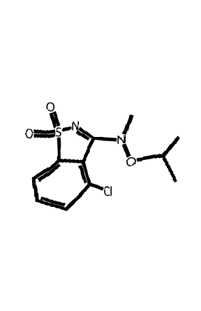 CC(C)ON(C)C1=NS(=O)(=O)c2cccc(Cl)c21